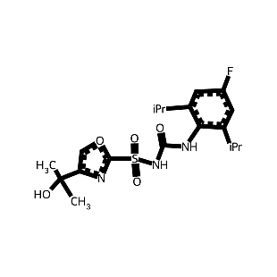 CC(C)c1cc(F)cc(C(C)C)c1NC(=O)NS(=O)(=O)c1nc(C(C)(C)O)co1